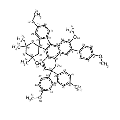 COc1ccc(-c2cc3c4c(c5c(c3cc2OC)-c2ccc(SC)cc2C52CC(C)(C)CC(C)(C)C2)C=CC(c2ccc(C)cc2)(c2ccc(OC)cc2)O4)cc1